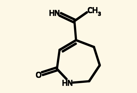 CC(=N)C1=CC(=O)NCCC1